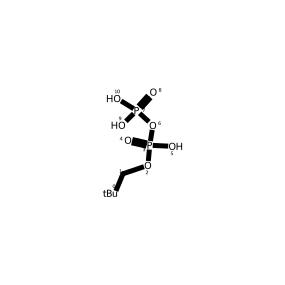 CC(C)(C)COP(=O)(O)OP(=O)(O)O